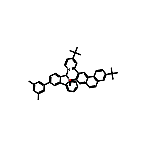 C=Cc1cc2ccc3cc(C(C)(C)C)ccc3c2cc1-c1cc(C(C)(C)C)cc[n+]1C1c2ccc(-c3cc(C)cc(C)c3)cc2-c2cccc[n+]21